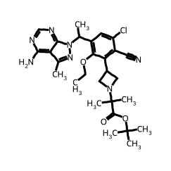 CCOc1c(C(C)n2nc(C)c3c(N)ncnc32)cc(Cl)c(C#N)c1C1CN(C(C)(C)C(=O)OC(C)(C)C)C1